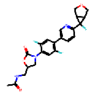 CC(=O)NCC1CN(c2cc(F)c(-c3ccc(C4(F)C5COCC54)nc3)cc2F)C(=O)O1